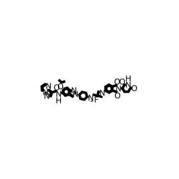 CC(C)Oc1cc2nn([C@H]3CC[C@H](N(C)CC4(F)CN(c5ccc6c(c5)C(=O)N(C5CCC(=O)NC5=O)C6=O)C4)CC3)cc2cc1NC(=O)c1cnn2cccnc12